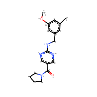 CC(C)c1cc(CNc2ncc(C(=O)N3CCCC3)cn2)cc(OC(F)(F)F)c1